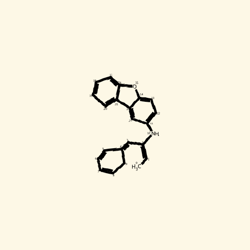 C/C=C(\C=C1\C=CC=CC1)Nc1ccc2oc3ccccc3c2c1